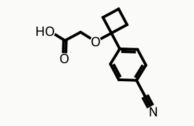 N#Cc1ccc(C2(OCC(=O)O)CCC2)cc1